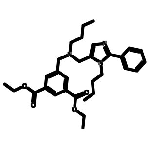 CCCCN(Cc1cc(C(=O)OCC)cc(C(=O)OCC)c1)Cc1cnc(-c2ccccc2)n1CCCC